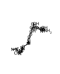 Cc1nc2cc(F)c(-c3cnc(OCCCCCn4cc(COCCOCCOCCOCCNC(=O)[C@H](CCC(=O)O)NC(=O)c5ccc(NCc6cnc7nc(N)nc(O)c7n6)cc5)nn4)nc3)nc2c(N[C@H](C)c2cc(C#N)ccc2F)c1Cl